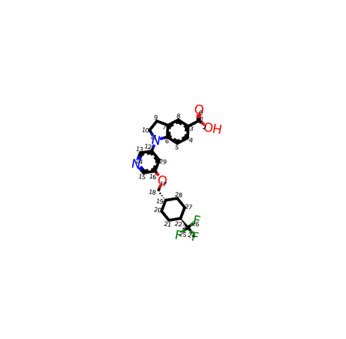 O=C(O)c1ccc2c(c1)CCN2c1cncc(OC[C@H]2CC[C@H](C(F)(F)F)CC2)c1